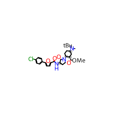 COC(=O)[C@@H]1C[C@H](N(C)C(C)(C)C)CC[C@@H]1N1CC[C@H](NC(=O)c2ccc(-c3ccc(Cl)cc3)o2)C1=O